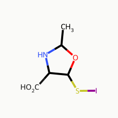 CC1NC(C(=O)O)C(SI)O1